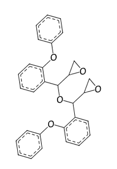 c1ccc(Oc2ccccc2C(OC(c2ccccc2Oc2ccccc2)C2CO2)C2CO2)cc1